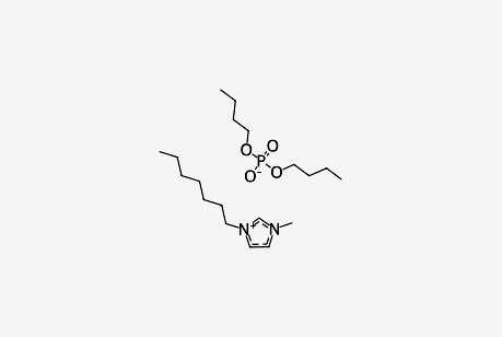 CCCCCCC[n+]1ccn(C)c1.CCCCOP(=O)([O-])OCCCC